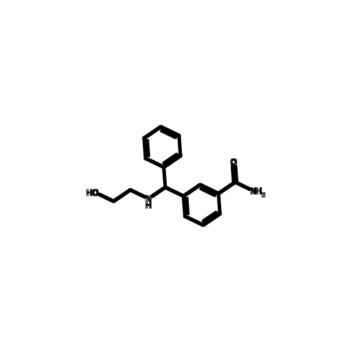 NC(=O)c1cccc(C(NCCO)c2ccccc2)c1